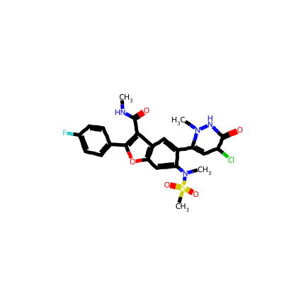 CNC(=O)c1c(-c2ccc(F)cc2)oc2cc(N(C)S(C)(=O)=O)c(C3=CC(Cl)C(=O)NN3C)cc12